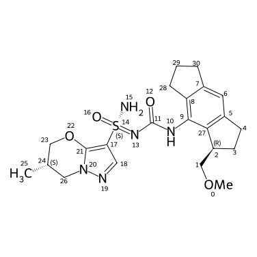 COC[C@@H]1CCc2cc3c(c(NC(=O)N=[S@](N)(=O)c4cnn5c4OC[C@@H](C)C5)c21)CCC3